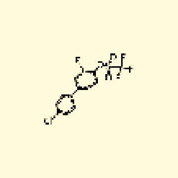 O=S(=O)(Oc1ccc(-c2ccc(Cl)cc2)cc1F)C(F)(F)F